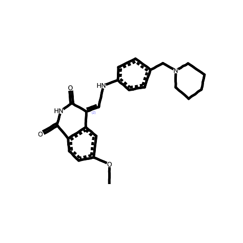 COc1ccc2c(c1)/C(=C/Nc1ccc(CN3CCCCC3)cc1)C(=O)NC2=O